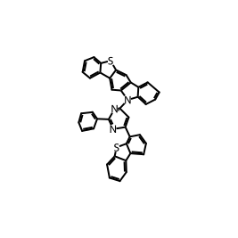 c1ccc(-c2nc(-c3cccc4c3sc3ccccc34)cc(-n3c4ccccc4c4cc5sc6ccccc6c5cc43)n2)cc1